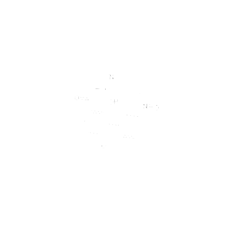 COc1ccc(C(=O)c2ccno2)c(O)c1-c1cccc([N+](=O)[O-])c1